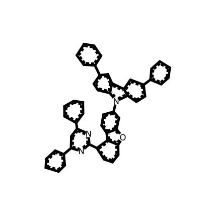 c1ccc(-c2ccc3c(c2)c2cc(-c4ccccc4)ccc2n3-c2ccc3c(c2)oc2cccc(-c4nc(-c5ccccc5)cc(-c5ccccc5)n4)c23)cc1